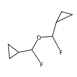 FC(OC(F)C1CC1)C1CC1